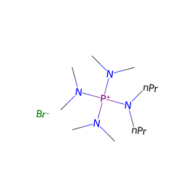 CCCN(CCC)[P+](N(C)C)(N(C)C)N(C)C.[Br-]